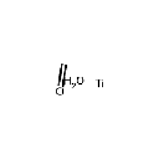 C=O.O.[Ti]